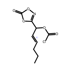 CCC/C=C/C(OC(=O)Cl)c1noc(=O)o1